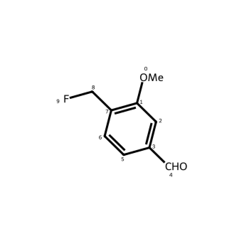 COc1cc(C=O)ccc1CF